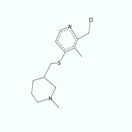 Cc1c(SCC2CCCN(C)C2)ccnc1CCl